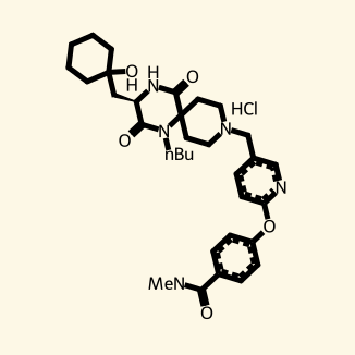 CCCCN1C(=O)[C@@H](CC2(O)CCCCC2)NC(=O)C12CCN(Cc1ccc(Oc3ccc(C(=O)NC)cc3)nc1)CC2.Cl